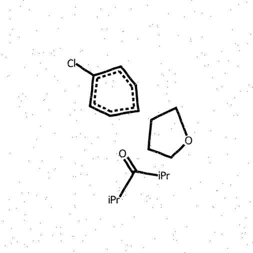 C1CCOC1.CC(C)C(=O)C(C)C.Clc1ccccc1